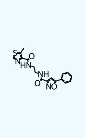 Cc1scnc1C(=O)NCCNC(=O)c1cc(-c2ccccc2)on1